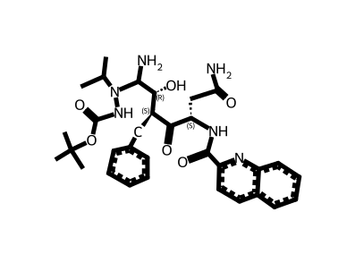 CC(C)N(NC(=O)OC(C)(C)C)C(N)[C@H](O)[C@H](Cc1ccccc1)C(=O)[C@H](CC(N)=O)NC(=O)c1ccc2ccccc2n1